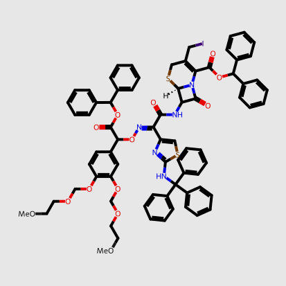 COCCOCOc1ccc(C(O/N=C(/C(=O)NC2C(=O)N3C(C(=O)OC(c4ccccc4)c4ccccc4)=C(CI)CS[C@H]23)c2csc(NC(c3ccccc3)(c3ccccc3)c3ccccc3)n2)C(=O)OC(c2ccccc2)c2ccccc2)cc1OCOCCOC